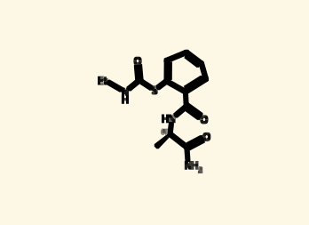 CCNC(=O)Sc1ccccc1C(=O)N[C@H](C)C(N)=O